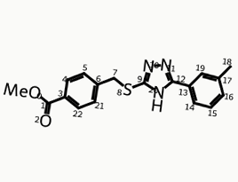 COC(=O)c1ccc(CSc2nnc(-c3cccc(C)c3)[nH]2)cc1